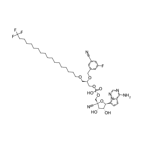 N#Cc1cc(F)cc(CO[C@H](COCCCCCCCCCCCCCCCCCC(F)(F)F)COP(=O)(O)OC[C@@]2(C#N)O[C@@H](c3ccc4c(N)ncnn34)[C@H](O)[C@@H]2O)c1